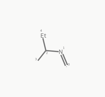 [CH]=NC(C)CC